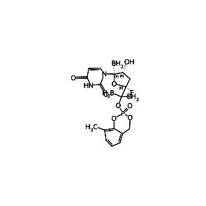 BC(B)(OP1(=O)OCc2cccc(C)c2O1)[C@]1(F)C[C@@H](O)[C@](B)(n2ccc(=O)[nH]c2=O)O1